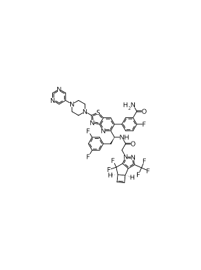 NC(=O)c1cc(-c2cc3sc(N4CCN(c5cncnc5)CC4)nc3nc2[C@H](Cc2cc(F)cc(F)c2)NC(=O)Cn2nc(C(F)(F)F)c3c2C(F)(F)[C@@H]2C=C[C@H]32)ccc1F